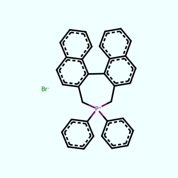 [Br-].c1ccc([P+]2(c3ccccc3)Cc3ccc4ccccc4c3-c3c(ccc4ccccc34)C2)cc1